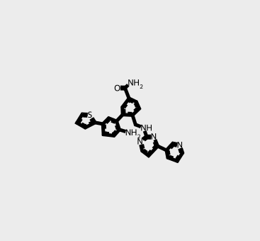 NC(=O)c1ccc(CNc2nccc(-c3cccnc3)n2)c(-c2cc(-c3cccs3)ccc2N)c1